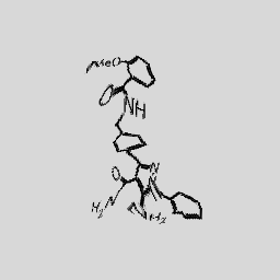 COc1ccccc1C(=O)NCc1ccc(-c2nn(-c3ccccc3)c(N)c2C(N)=O)cc1